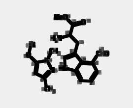 CCOc1cc(C)nn1C.COC(=O)C(N)Cc1c[nH]c2cccc(C=O)c12